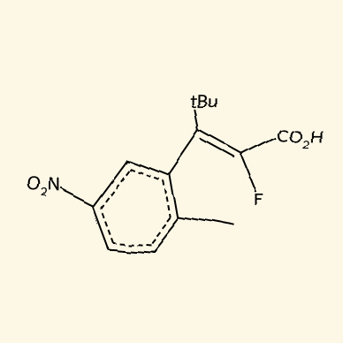 Cc1ccc([N+](=O)[O-])cc1C(=C(F)C(=O)O)C(C)(C)C